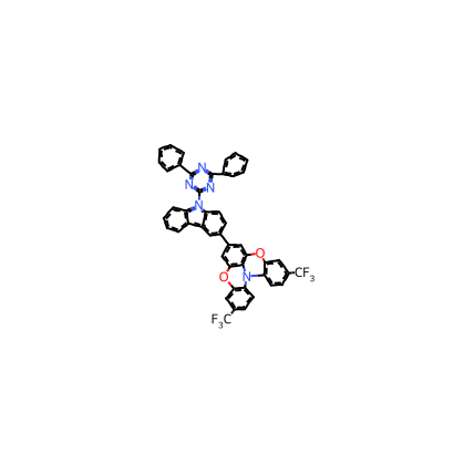 FC(F)(F)c1ccc2c(c1)Oc1cc(-c3ccc4c(c3)c3ccccc3n4-c3nc(-c4ccccc4)nc(-c4ccccc4)n3)cc3c1N2c1ccc(C(F)(F)F)cc1O3